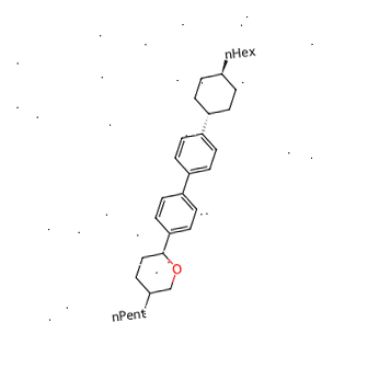 CCCCCC[C@H]1CC[C@H](c2ccc(-c3ccc(C4CCC(CCCCC)CO4)cc3)cc2)CC1